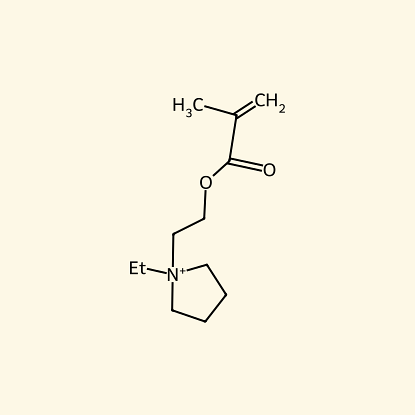 C=C(C)C(=O)OCC[N+]1(CC)CCCC1